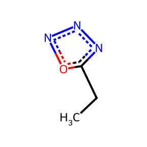 CCc1nnno1